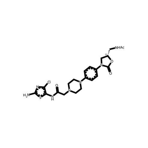 CC(=O)NC[C@H]1CN(c2ccc(N3CCN(CC(=O)Nc4sc(N)nc4Cl)CC3)cc2)C(=O)O1